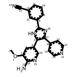 COc1cc(-c2[nH]c(-c3cccc(C#N)c3)nc2-c2ccncc2)cnc1N